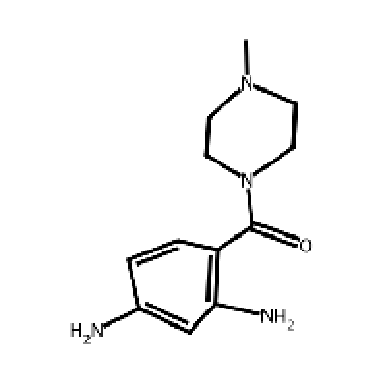 CN1CCN(C(=O)c2ccc(N)cc2N)CC1